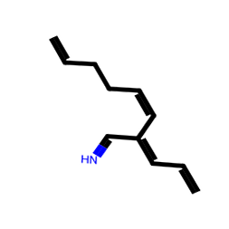 C=C/C=C(C=N)\C=C/CCC=C